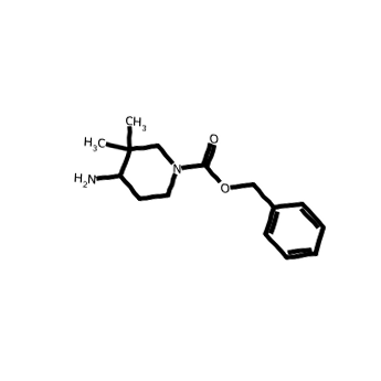 CC1(C)CN(C(=O)OCc2ccccc2)CCC1N